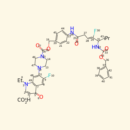 CCn1cc(C(=O)O)c(=O)c2cc(F)c(N3CCN(C(=O)OCc4ccc(NC(=O)C/C=C(\F)C(NC(=O)OCc5ccccc5)C(C)C)cc4)CC3)cc21